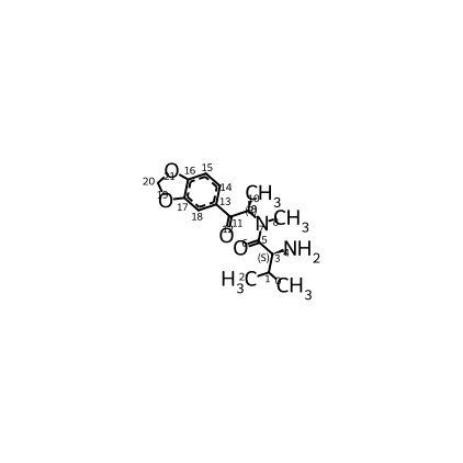 CC(C)[C@H](N)C(=O)N(C)[C@H](C)C(=O)c1ccc2c(c1)OCO2